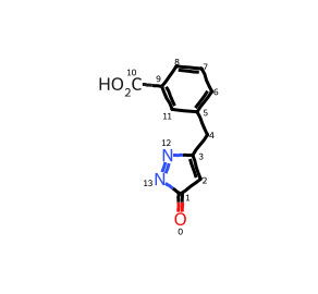 O=C1C=C(Cc2cccc(C(=O)O)c2)N=N1